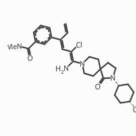 C=C/C(=C\C(Cl)=C(/N)N1CCC2(CC1)CCN([C@H]1CC[C@@H](O)CC1)C2=O)c1cccc(C(=O)NC)c1